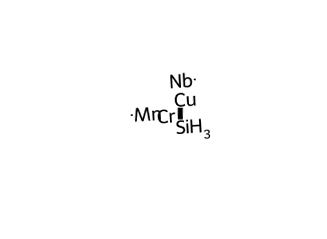 [Cr].[Mn].[Nb].[SiH3][Cu]